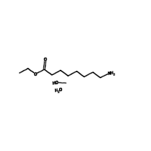 CCOC(=O)CCCCCCCN.CO.O